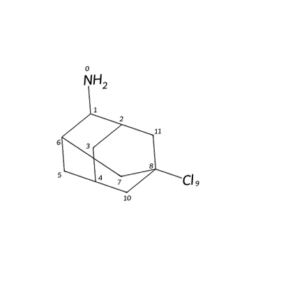 NC1C2CC3CC1CC(Cl)(C3)C2